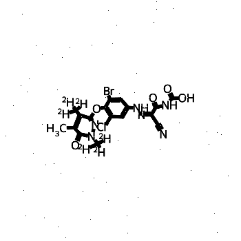 [2H]C([2H])([2H])c1c(Oc2c(Cl)cc(NN=C(C#N)C(=O)NC(=O)O)cc2Br)nn(C([2H])([2H])[2H])c(=O)c1C